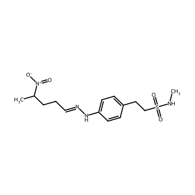 CNS(=O)(=O)CCc1ccc(N/N=C/CCC(C)[N+](=O)[O-])cc1